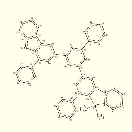 C[Si]1(C)c2ccccc2-c2cc(-c3nc(-c4ccccc4)nc(-c4cc(-c5ccccc5)c5oc6ccccc6c5c4)n3)cc(-c3ccccc3)c21